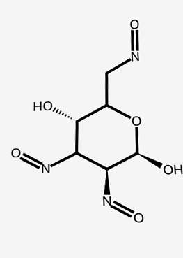 O=NCC1O[C@@H](O)[C@@H](N=O)C(N=O)[C@@H]1O